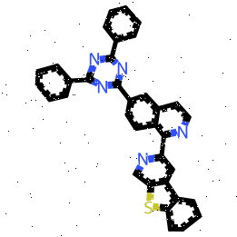 c1ccc(-c2nc(-c3ccccc3)nc(-c3ccc4c(-c5cc6c(cn5)sc5ccccc56)nccc4c3)n2)cc1